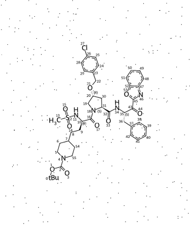 CC(C)(C)OC(=O)N1CCC(CC[C@@H](NS(C)(=O)=O)C(=O)N2C[C@H](OCc3ccc(Cl)cc3)C[C@H]2C(=O)N[C@@H](Cc2ccccc2)C(=O)c2nc3ccccc3o2)CC1